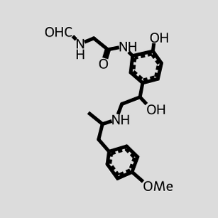 COc1ccc(CC(C)NCC(O)c2ccc(O)c(NC(=O)CNC=O)c2)cc1